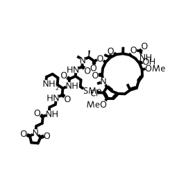 COc1cc2cc(c1Cl)N(C)C(=O)CC(OC(=O)[C@H](C)N(C)C(=O)NC(CCSC)C(=O)NC(CCCCN)C(=O)NCCNC(=O)CCN1C(=O)CCC1=O)C1(C)OC1C(C)C1CC(O)(NC(=O)O1)C(OC)/C=C/C=C(\C)C2